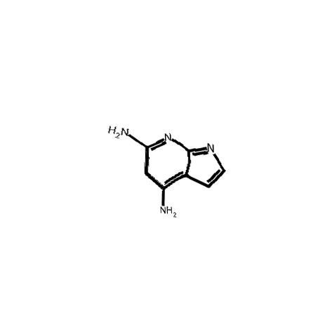 NC1=NC2=NC=CC2=C(N)C1